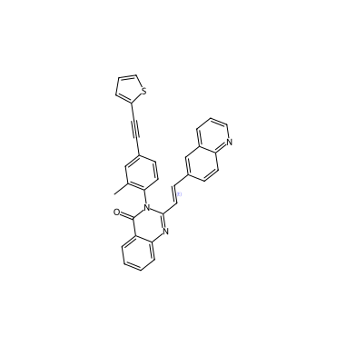 Cc1cc(C#Cc2cccs2)ccc1-n1c(/C=C/c2ccc3ncccc3c2)nc2ccccc2c1=O